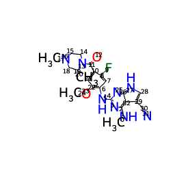 CNc1nc(Nc2cc(F)c(C(=O)N3CCN(C)C[C@H]3C)cc2OC)nc2[nH]cc(C#N)c12